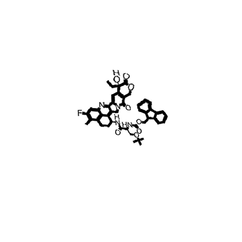 CC[C@@]1(O)C(=O)OCc2c1cc1n(c2=O)Cc2c-1nc1cc(F)c(C)c3c1c2[C@@H](NC(=O)[C@H](COC(C)(C)C)NC(=O)OCC1c2ccccc2-c2ccccc21)CC3